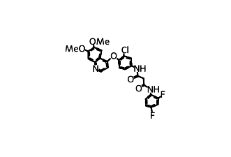 COc1cc2nccc(Oc3ccc(NC(=O)CC(=O)Nc4ccc(F)cc4F)cc3Cl)c2cc1OC